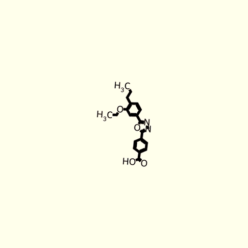 CCCc1ccc(-c2nnc(-c3ccc(C(=O)O)cc3)o2)cc1OCC